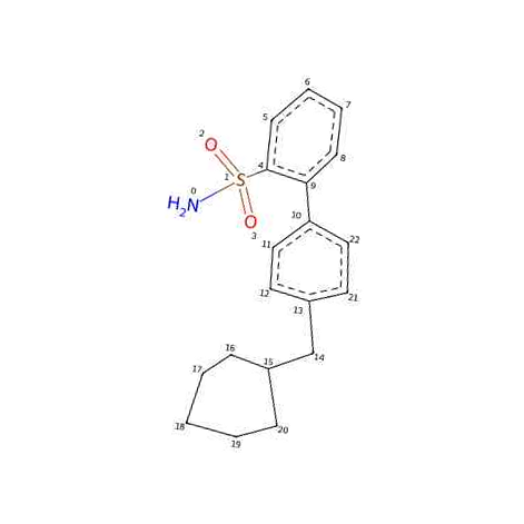 NS(=O)(=O)c1ccccc1-c1ccc(CC2CCCCC2)cc1